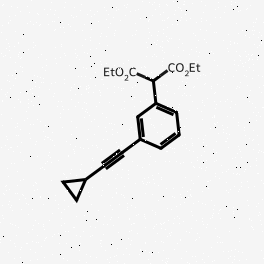 CCOC(=O)C(C(=O)OCC)c1cccc(C#CC2CC2)c1